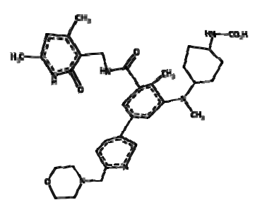 Cc1cc(C)c(CNC(=O)c2cc(-c3ccc(CN4CCOCC4)nc3)cc(N(C)C3CCC(NC(=O)O)CC3)c2C)c(=O)[nH]1